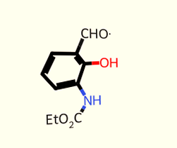 CCOC(=O)Nc1cccc([C]=O)c1O